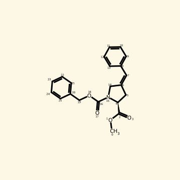 COC(=O)[C@@H]1CC(=Cc2ccccc2)CN1C(=O)OCc1ccccc1